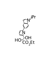 CCOC(=O)[C@H](O)[C@@H](O)c1cccc(-c2ccc3c(ccn3CC(C)C)c2)n1